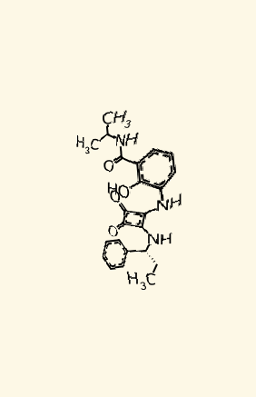 CC[C@@H](Nc1c(Nc2cccc(C(=O)NC(C)C)c2O)c(=O)c1=O)c1ccccc1